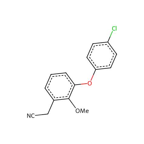 COc1c(CC#N)cccc1Oc1ccc(Cl)cc1